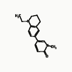 CCN1CCCc2cc(-c3ccc(=O)n(C)c3)ccc21